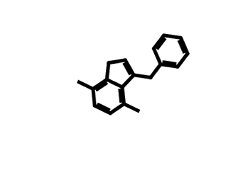 Cc1ccc(C)c2c1CC=C2Cc1ccccc1